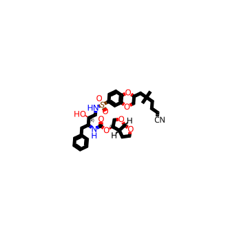 CC(C)(CCCC#N)CC1COc2cc(S(=O)(=O)NC[C@@H](O)C(Cc3ccccc3)NC(=O)O[C@H]3CO[C@H]4OCC[C@H]43)ccc2O1